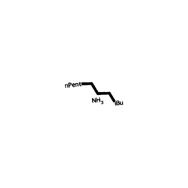 CCCCCCCCC(C)CC.N